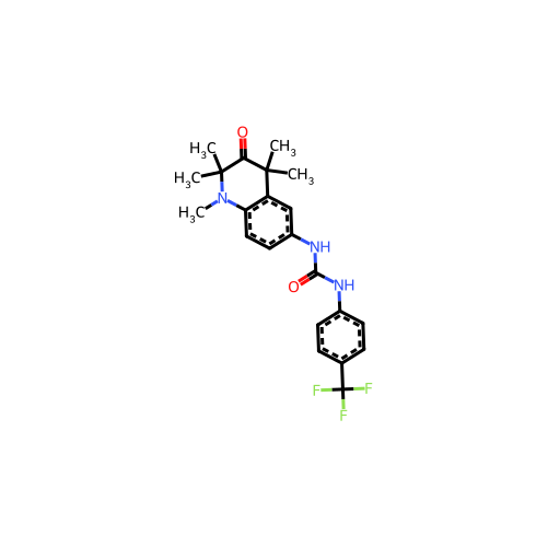 CN1c2ccc(NC(=O)Nc3ccc(C(F)(F)F)cc3)cc2C(C)(C)C(=O)C1(C)C